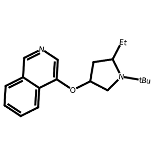 CCC1CC(Oc2cncc3ccccc23)CN1C(C)(C)C